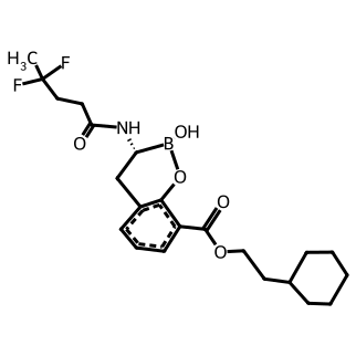 CC(F)(F)CCC(=O)N[C@H]1Cc2cccc(C(=O)OCCC3CCCCC3)c2OB1O